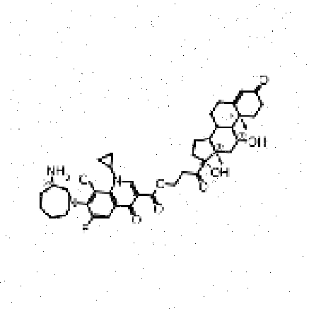 C[C@]12CCC(=O)C=C1CCC1C2[C@@H](O)C[C@@]2(C)C1CC[C@]2(O)C(=O)[CH]COC(=O)c1cn(C2CC2)c2c(Cl)c(N3CCCC[C@@H](N)C3)c(F)cc2c1=O